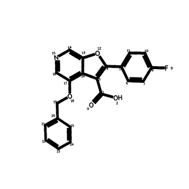 O=C(O)c1c(-c2ccc(F)cc2)oc2cncc(OCc3ccccc3)c12